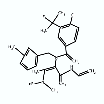 C=CNC(=C)/C(=C(/C)N(C)CCC)N(Cc1cccc(C)c1)C(=C)c1ccc(Cl)c(C(C)(C)F)c1